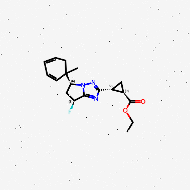 CCOC(=O)[C@@H]1C[C@H]1c1nc2n(n1)[C@H](C1(C)C=CC=CC1)C[C@@H]2F